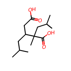 CC(C)CC(CC(=O)O)C(C)(CC(C)C)C(=O)O